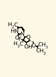 C=C1C=CN([C@@H]2O[C@H](COC(C)C)[C@@H](O)[C@@]2(C)F)C(=O)N1